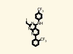 FC(F)(F)c1ccc(Nc2nc(CI)nc3nc(-c4ccccc4C(F)(F)F)ccc23)cc1